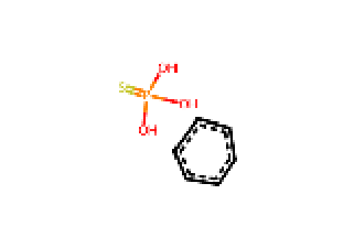 OP(O)(O)=S.c1ccccc1